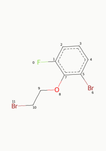 Fc1cccc(Br)c1OCCBr